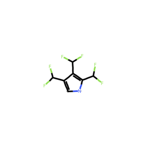 FC(F)C1=[C][N]C(C(F)F)=C1C(F)F